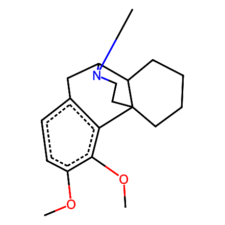 COc1ccc2c(c1OC)C13CCCCC1C(C2)N(C)CC3